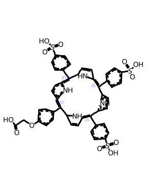 O=C(O)COc1ccc(/C2=c3\cc/c([nH]3)=C(\c3ccc(S(=O)(=O)O)cc3)C3C=C/C(=C(\c4ccc(S(=O)(=O)O)cc4)c4ccc([nH]4)/C(c4ccc(S(=O)(=O)O)cc4)=C4/C=CC2N4)N3)cc1